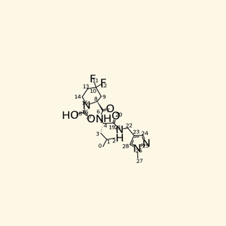 CC(C)C[C@H](NC(=O)[C@@H]1CC(F)(F)CCN1C(=O)O)C(=O)NCc1cnn(C)c1